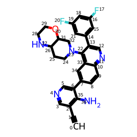 C#Cc1cncc(-c2ccc3ncc(-c4cc(F)cc(F)c4)c(N4CCC5NCCOC5C4)c3c2)c1N